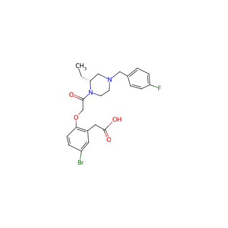 CC[C@@H]1CN(Cc2ccc(F)cc2)CCN1C(=O)COc1ccc(Br)cc1CC(=O)O